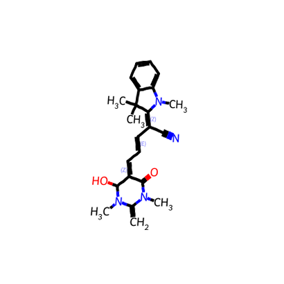 C=C1N(C)C(=O)\C(=C/C=C/C(C#N)=C2/N(C)c3ccccc3C2(C)C)C(O)N1C